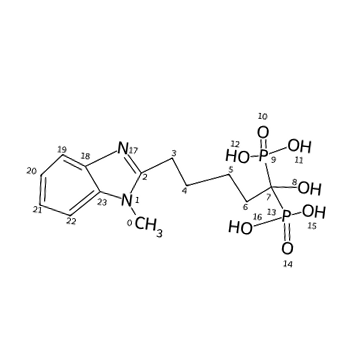 Cn1c(CCCCC(O)(P(=O)(O)O)P(=O)(O)O)nc2ccccc21